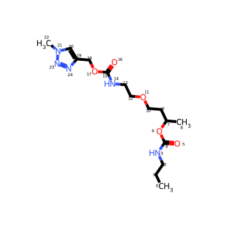 CCCNC(=O)OC(C)CCOCCNC(=O)OCc1cn(C)nn1